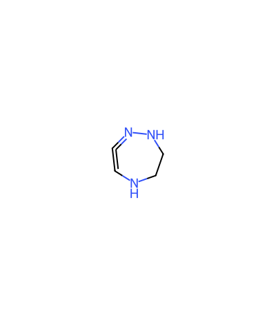 C1=CNCCNN=1